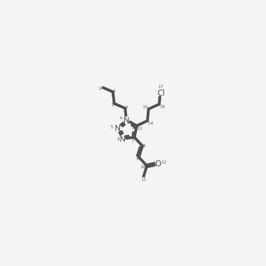 CCCCn1nnc(/C=C/C(C)=O)c1CCCCl